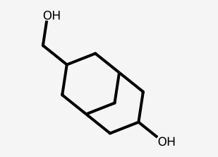 OCC1CC2CC(O)CC(C1)C2